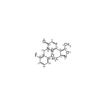 Cc1noc(C)c1-c1ccc(=O)n(Cc2c(F)cccc2Cl)n1